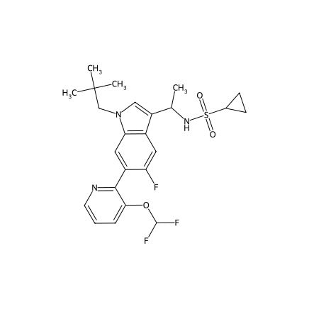 CC(NS(=O)(=O)C1CC1)c1cn(CC(C)(C)C)c2cc(-c3ncccc3OC(F)F)c(F)cc12